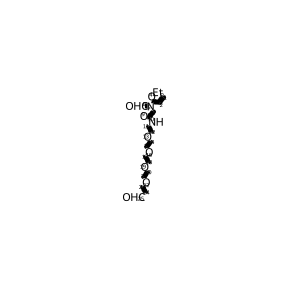 CC/C=C\C(=O)N(C=O)CC(=O)NCCOCCOCCOCCOCCC=O